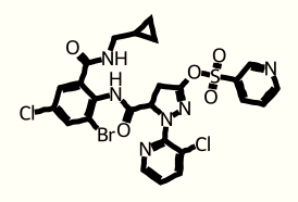 O=C(NCC1CC1)c1cc(Cl)cc(Br)c1NC(=O)C1CC(OS(=O)(=O)c2cccnc2)=NN1c1ncccc1Cl